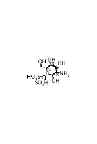 N[C@H]1C(O)O[C@H](CO)[C@@H](O)[C@@H]1O.O=S(=O)(O)OS(=O)(=O)O